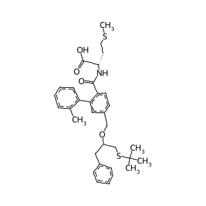 CSCC[C@H](NC(=O)c1ccc(COC(CSC(C)(C)C)Cc2ccccc2)cc1-c1ccccc1C)C(=O)O